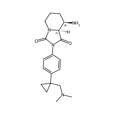 CN(C)CC1(c2ccc(N3C(=O)[C@@H]4[C@H](N)CCCN4C3=O)cc2)CC1